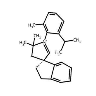 Cc1cccc(C(C)C)c1[N+]1=C[C@]2(CCc3ccccc32)CC1(C)C